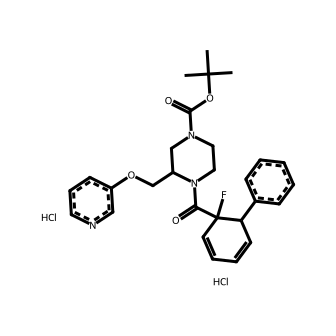 CC(C)(C)OC(=O)N1CCN(C(=O)C2(F)C=CC=CC2c2ccccc2)C(COc2cccnc2)C1.Cl.Cl